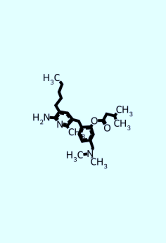 CCCCCc1cc(Cc2ccc(CN(C)C)cc2OC(=O)CC(C)C)c(C)nc1N